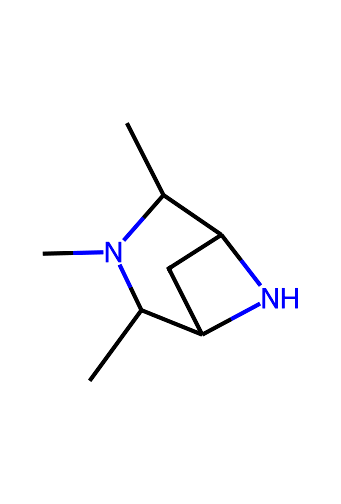 CC1C2CC(N2)C(C)N1C